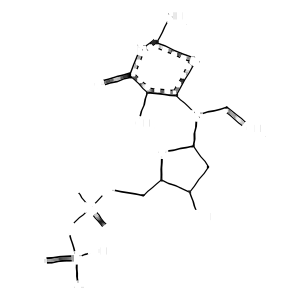 C=CN(c1[nH]c(N)nc(=O)c1C)C1CC(O)C(COP(=O)(O)OP(=O)(O)O)O1